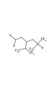 FC(F)CC(CC(F)(C(F)(F)F)C(F)(F)F)C(C(F)(F)F)C(F)(F)F